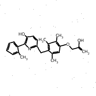 C=C(O)COc1cc(C)c(Cc2ccc(O)c(-c3ccccc3C)n2)c(C)c1C